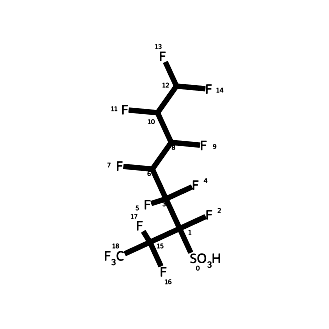 O=S(=O)(O)C(F)(C(F)(F)C(F)C(F)C(F)C(F)F)C(F)(F)C(F)(F)F